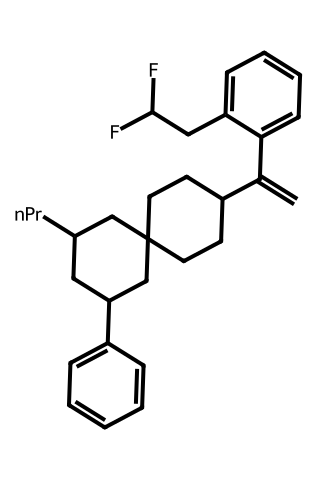 C=C(c1ccccc1CC(F)F)C1CCC2(CC1)CC(CCC)CC(c1ccccc1)C2